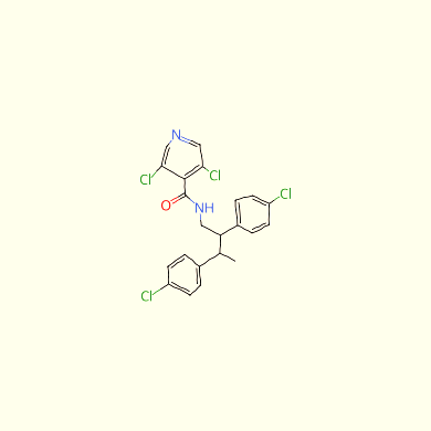 CC(c1ccc(Cl)cc1)C(CNC(=O)c1c(Cl)cncc1Cl)c1ccc(Cl)cc1